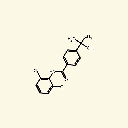 CC(C)(C)c1ccc(C(=O)Nc2c(Cl)cccc2Cl)cc1